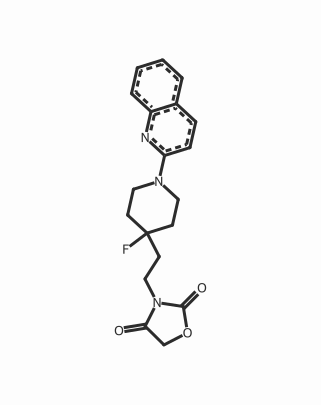 O=C1COC(=O)N1CCC1(F)CCN(c2ccc3ccccc3n2)CC1